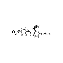 CCCCCCc1ccc(C=Cc2ccc([N+](=O)[O-])cc2)c(NCCC)c1